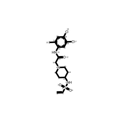 C=CS(=O)(=O)NC1CCN(CC(=O)Nc2cc(Cl)c(Cl)cc2I)CC1